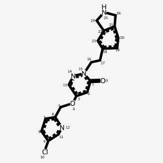 O=c1cc(OCc2ccc(Cl)cn2)cnn1CCc1ccc2c(c1)CNC2